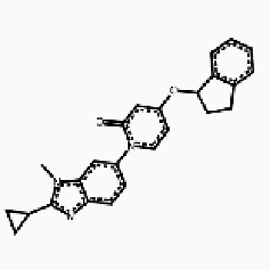 Cn1c(C2CC2)nc2ccc(-n3ccc(OC4CCc5ccccc54)cc3=O)cc21